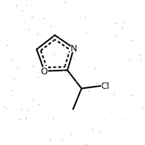 CC(Cl)c1ncco1